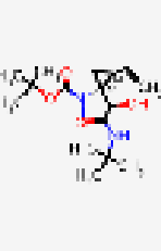 C=C[C@@H]1C[C@]1(NC(=O)OC(C)(C)C)C(O)C(=O)NC(C)(C)C